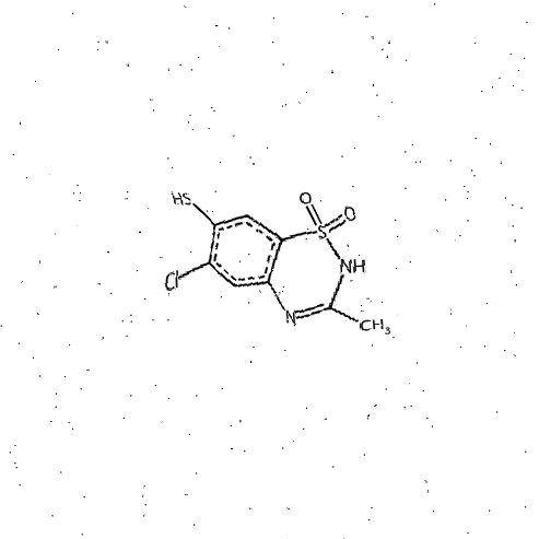 CC1=Nc2cc(Cl)c(S)cc2S(=O)(=O)N1